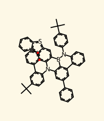 CC(C)(C)c1ccc(N2B3c4cc5sc6ccccc6c5cc4N(c4ccc(C(C)(C)C)cc4-c4ccccc4)c4cc(-c5ccccc5)cc(c43)-c3ccccc32)cc1